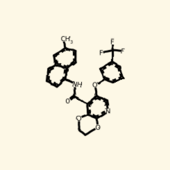 Cc1ccc2c(NC(=O)c3c(Oc4cccc(C(F)(F)F)c4)cnc4c3OCCO4)cccc2c1